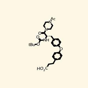 CC(=O)N1CCN(C(=O)[C@H](Cc2ccc(Oc3ccc(CCC(=O)O)cc3)cc2)NC(=O)OC(C)(C)C)CC1